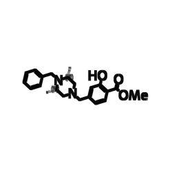 COC(=O)c1ccc(CN2C[C@@H](C)N(Cc3ccccc3)[C@@H](C)C2)cc1O